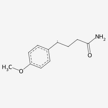 COc1ccc([CH]CCC(N)=O)cc1